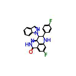 O=c1[nH]nc2c3c(cc(F)cc13)NC(c1ccc(F)cc1)C2n1ncc2ccccc21